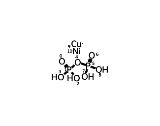 O=P(O)(O)OP(=O)(O)O.[Cu].[Ni]